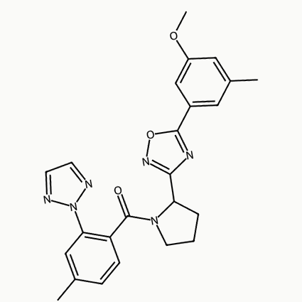 COc1cc(C)cc(-c2nc(C3CCCN3C(=O)c3ccc(C)cc3-n3nccn3)no2)c1